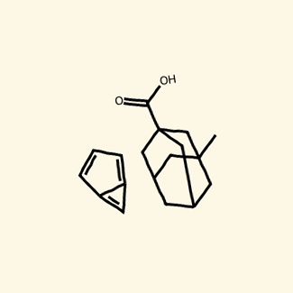 CC12CC3CC(C1)CC(C(=O)O)(C3)C2.c1cc2cc-2c1